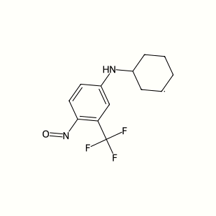 O=Nc1ccc(NC2C[CH]CCC2)cc1C(F)(F)F